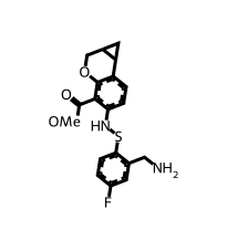 COC(=O)c1c(NSc2ccc(F)cc2CN)ccc2c1OCC1CC21